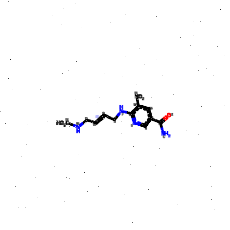 NC(=O)c1cnc(NC/C=C/CNC(=O)O)c([N+](=O)[O-])c1